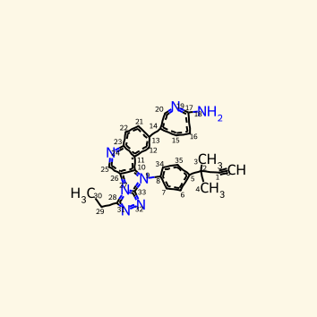 C#CC(C)(C)c1ccc(-n2c3c4cc(-c5ccc(N)nc5)ccc4ncc3n3c(CC)nnc23)cc1